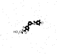 Cc1cc(C(C)Nc2cccc(-c3cc(F)c(C(=O)N(C)[C@@H](C)C(=O)O)c(F)c3)c2)cc(C)c1Cl